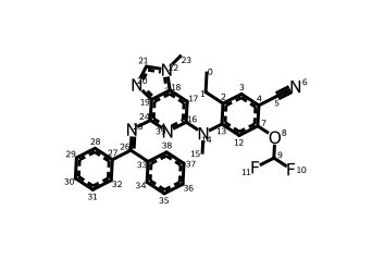 CCc1cc(C#N)c(OC(F)F)cc1N(C)c1cc2c(ncn2C)c(N=C(c2ccccc2)c2ccccc2)n1